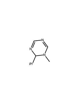 CC(C)C1N=CN=CN1C